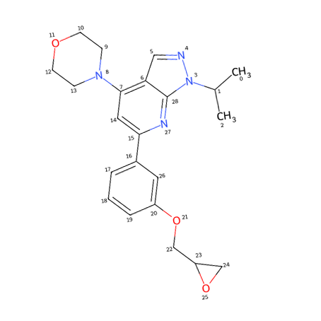 CC(C)n1ncc2c(N3CCOCC3)cc(-c3cccc(OCC4CO4)c3)nc21